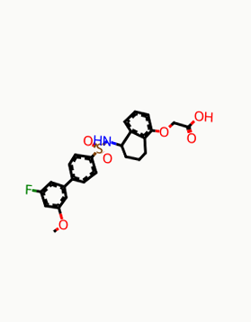 COc1cc(F)cc(-c2ccc(S(=O)(=O)NC3CCCc4c(OCC(=O)O)cccc43)cc2)c1